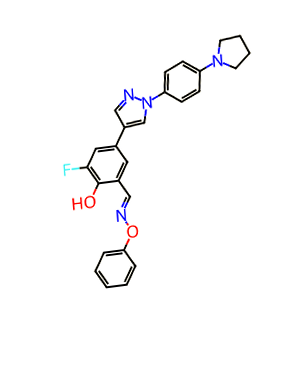 Oc1c(F)cc(-c2cnn(-c3ccc(N4CCCC4)cc3)c2)cc1/C=N/Oc1ccccc1